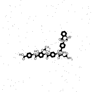 CC(C)Oc1c(NC(=O)c2ccc(NC(=O)[C@H](CC(N)=O)NC(=O)c3ccc(NC(=O)c4ccccc4[N+](=O)[O-])cc3)cc2)ccc(C(=O)Nc2ccc(C(=O)O)cc2)c1O